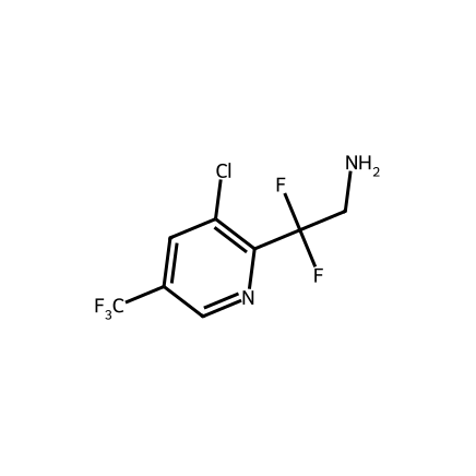 NCC(F)(F)c1ncc(C(F)(F)F)cc1Cl